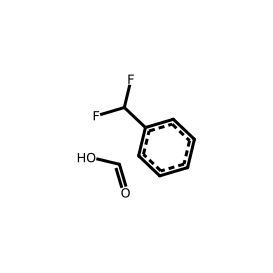 FC(F)c1ccccc1.O=CO